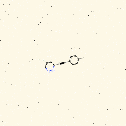 Cc1ccc(C#Cc2cc(Cl)cnn2)cc1